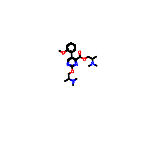 COc1ccccc1-c1cnc(OCC(C)N(C)C)nc1C(=O)OCC(C)N(C)C